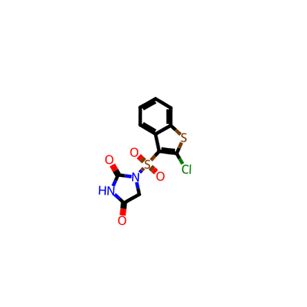 O=C1CN(S(=O)(=O)c2c(Cl)sc3ccccc23)C(=O)N1